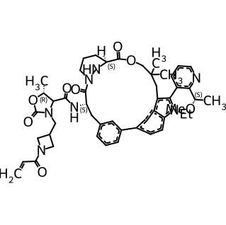 C=CC(=O)N1CC(CN2C(=O)O[C@H](C)C2C(=O)N[C@H]2Cc3cccc(c3)-c3ccc4c(c3)c(c(-c3cccnc3[C@H](C)OC)n4CC)CC(C)(C)COC(=O)[C@@H]3CCCN(N3)C2=O)C1